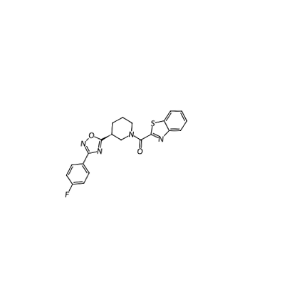 O=C(c1nc2ccccc2s1)N1CCC[C@H](c2nc(-c3ccc(F)cc3)no2)C1